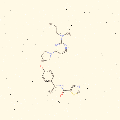 C[C@H](NC(=O)c1cncs1)c1ccc(O[C@@H]2CCN(c3ccnc(N(C)CCC#N)n3)C2)cc1